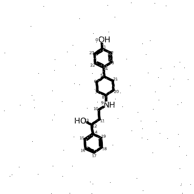 Oc1ccc(C2CCC(NCCC(O)c3ccccc3)CC2)cc1